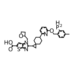 Cc1ccc(COc2cccc(C3CCC4(CC3)CC4c3nc4sc(C(=O)O)cc4n3CC3CCO3)n2)c(P)c1